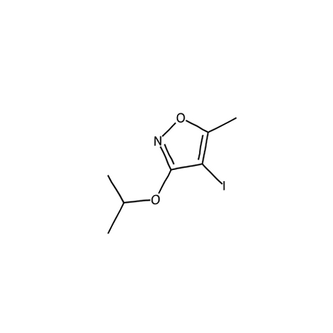 Cc1onc(OC(C)C)c1I